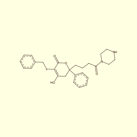 O=C1OC(CCCC(=O)N2CCNCC2)(c2ccccc2)CC(O)=C1SCc1ccccc1